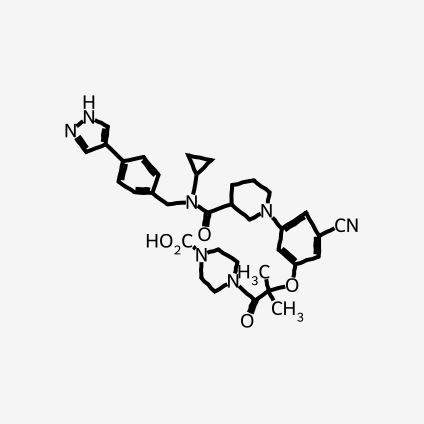 CC(C)(Oc1cc(C#N)cc(N2CCCC(C(=O)N(Cc3ccc(-c4cn[nH]c4)cc3)C3CC3)C2)c1)C(=O)N1CCN(C(=O)O)CC1